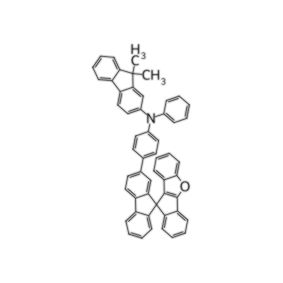 CC1(C)c2ccccc2-c2ccc(N(c3ccccc3)c3ccc(-c4ccc5c(c4)C4(c6ccccc6-5)c5ccccc5-c5oc6ccccc6c54)cc3)cc21